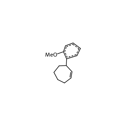 COc1ccccc1C1C=CCCCC1